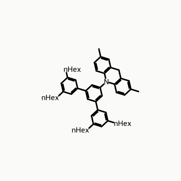 CCCCCCc1cc(CCCCCC)cc(-c2cc(-c3cc(CCCCCC)cc(CCCCCC)c3)cc(N3c4ccc(C)cc4Cc4cc(C)ccc43)c2)c1